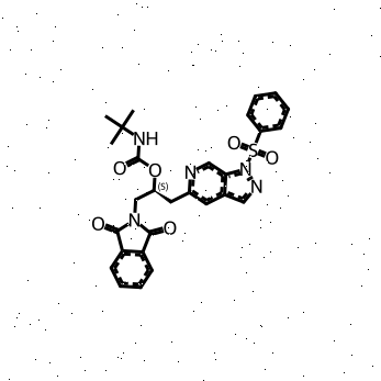 CC(C)(C)NC(=O)O[C@@H](Cc1cc2cnn(S(=O)(=O)c3ccccc3)c2cn1)CN1C(=O)c2ccccc2C1=O